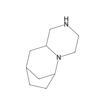 C1CN2C3CCC(C3)CC2CN1